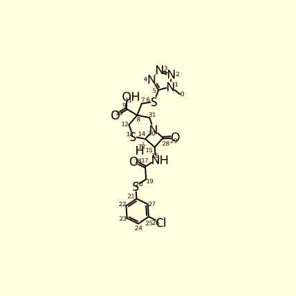 Cn1nnnc1SCC1(C(=O)O)CS[C@@H]2C(NC(=O)CSc3cccc(Cl)c3)C(=O)N2C1